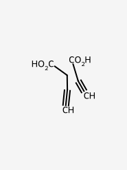 C#CC(=O)O.C#CCC(=O)O